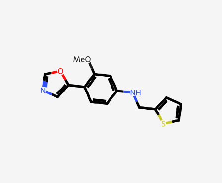 COc1cc(NCc2cccs2)ccc1-c1cnco1